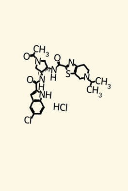 CC(=O)N1C[C@H](NC(=O)c2cc3cc(Cl)ccc3[nH]2)[C@H](NC(=O)c2nc3c(s2)CN(C(C)C)CC3)C1.Cl